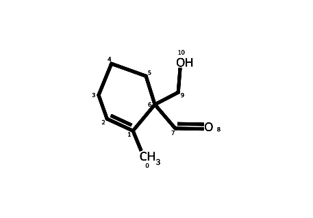 CC1=CCCCC1(C=O)CO